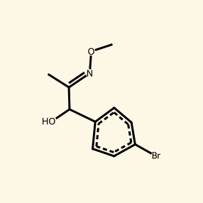 CON=C(C)C(O)c1ccc(Br)cc1